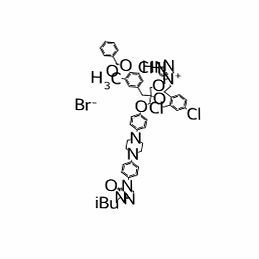 CCC(C)n1ncn(-c2ccc(N3CCN(c4ccc(OCC5(Cc6cc(C)c(OC(=O)c7ccccc7)c(C)c6)COC(C[n+]6cn[nH]c6)(c6ccc(Cl)cc6Cl)O5)cc4)CC3)cc2)c1=O.[Br-]